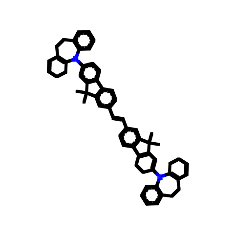 CC1(C)C2=C(CCC(N3C4=C(C=CCC4)CCc4ccccc43)=C2)c2ccc(/C=C/c3ccc4c(c3)C(C)(C)c3cc(N5C6=C(C=CCC6)CCc6ccccc65)ccc3-4)cc21